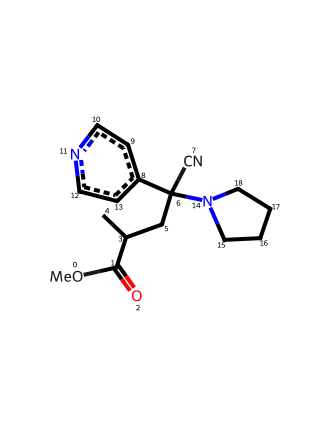 COC(=O)C(C)CC(C#N)(c1ccncc1)N1CCCC1